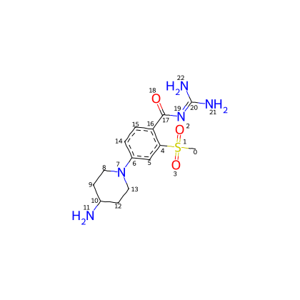 CS(=O)(=O)c1cc(N2CCC(N)CC2)ccc1C(=O)N=C(N)N